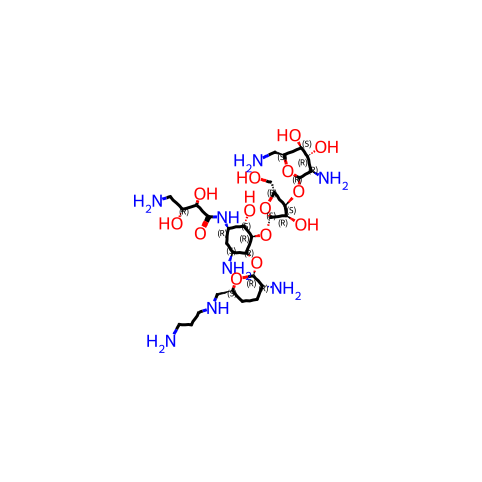 NCCCNC[C@@H]1CC[C@@H](N)[C@@H](O[C@H]2[C@H](O[C@@H]3O[C@H](CO)[C@@H](O[C@H]4O[C@@H](CN)[C@@H](O)[C@H](O)[C@H]4N)[C@H]3O)[C@@H](O)[C@H](NC(=O)C(O)[C@H](O)CN)C[C@@H]2N)O1